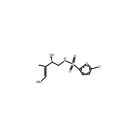 CCCCC=C(C)[C@@H](O)CNS(=O)(=O)c1ccc(Cl)s1